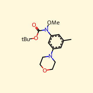 CON(C(=O)OC(C)(C)C)c1cc(C)cc(N2CCOCC2)c1